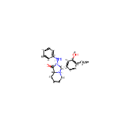 COc1ccc([C@H]2N(Nc3ccccc3)C(=O)C3CCCCN32)cc1O